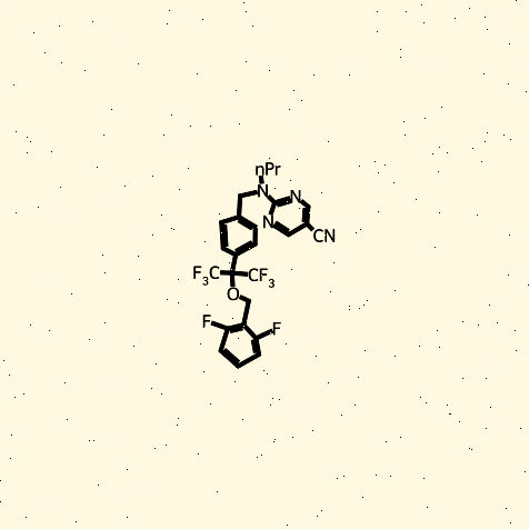 CCCN(Cc1ccc(C(OCc2c(F)cccc2F)(C(F)(F)F)C(F)(F)F)cc1)c1ncc(C#N)cn1